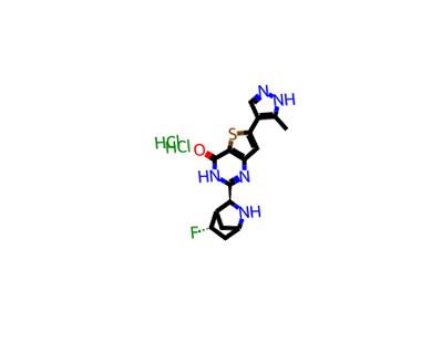 Cc1[nH]ncc1-c1cc2nc([C@H]3NC4CC3[C@@H](F)C4)[nH]c(=O)c2s1.Cl.Cl